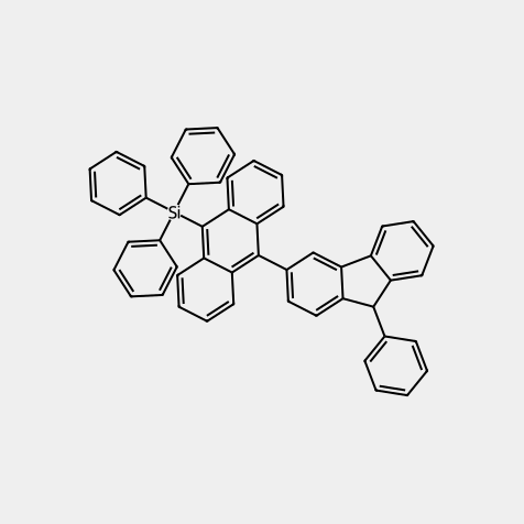 c1ccc(C2c3ccccc3-c3cc(-c4c5ccccc5c([Si](c5ccccc5)(c5ccccc5)c5ccccc5)c5ccccc45)ccc32)cc1